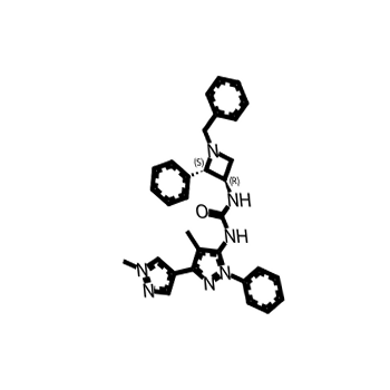 Cc1c(-c2cnn(C)c2)nn(-c2ccccc2)c1NC(=O)N[C@@H]1CN(Cc2ccccc2)[C@H]1c1ccccc1